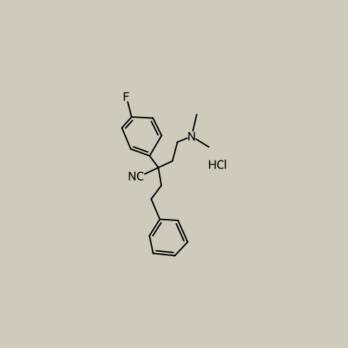 CN(C)CCC(C#N)(CCc1ccccc1)c1ccc(F)cc1.Cl